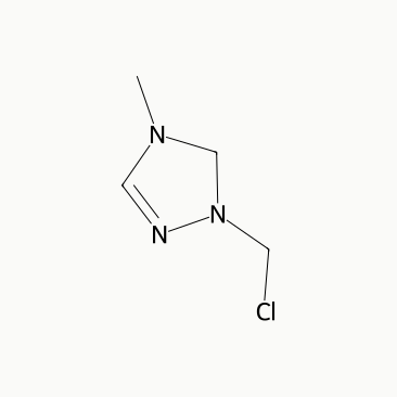 CN1C=NN(CCl)C1